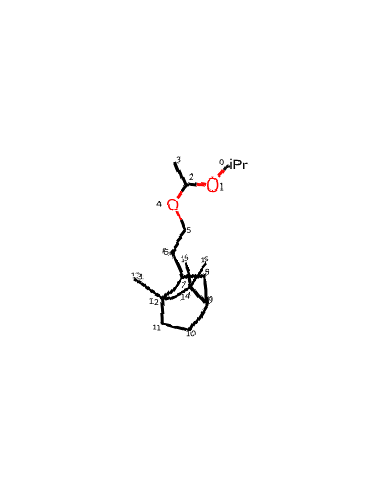 CC(C)OC(C)OCCC1CC2CCC1(C)C2(C)C